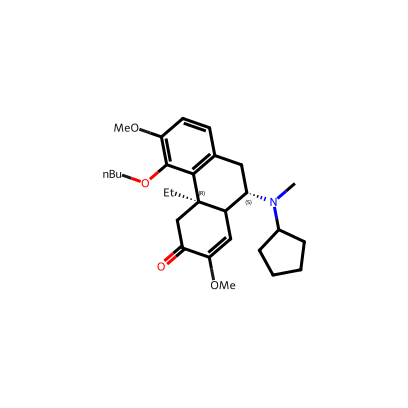 CCCCOc1c(OC)ccc2c1[C@]1(CC)CC(=O)C(OC)=CC1[C@@H](N(C)C1CCCC1)C2